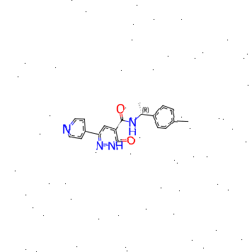 Cc1ccc([C@@H](C)NC(=O)c2cc(-c3ccncc3)n[nH]c2=O)cc1